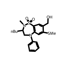 CCCCC1CN(c2ccccc2)c2cc(SC)c(CO)cc2S(=O)(=O)N1C